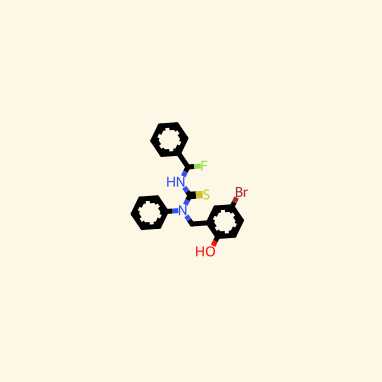 Oc1ccc(Br)cc1CN(C(=S)NC(F)c1ccccc1)c1ccccc1